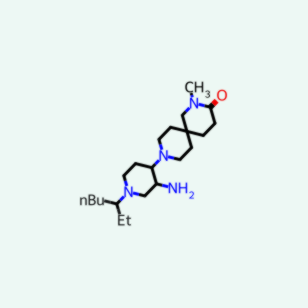 CCCCC(CC)N1CCC(N2CCC3(CCC(=O)N(C)C3)CC2)C(N)C1